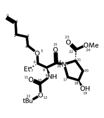 C=CCCCO[C@@H](CC)[C@H](NC(=O)OC(C)(C)C)C(=O)N1C[C@H](O)C[C@H]1C(=O)OC